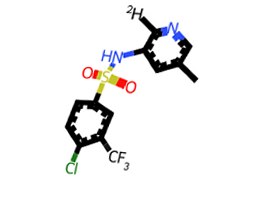 [2H]c1ncc(C)cc1NS(=O)(=O)c1ccc(Cl)c(C(F)(F)F)c1